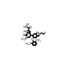 CCNC(=O)c1cc2c(-c3cc4nn(CCF)cc4cc3Oc3c(C)cccc3C)cn(C)c(=O)c2[nH]1